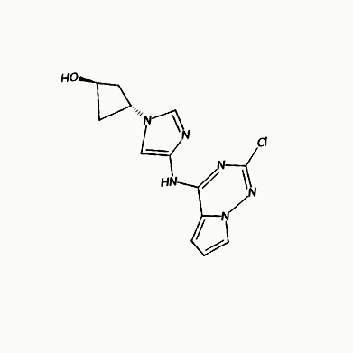 O[C@H]1C[C@H](n2cnc(Nc3nc(Cl)nn4cccc34)c2)C1